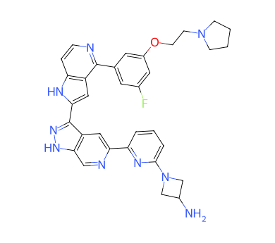 NC1CN(c2cccc(-c3cc4c(-c5cc6c(-c7cc(F)cc(OCCN8CCCC8)c7)nccc6[nH]5)n[nH]c4cn3)n2)C1